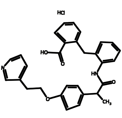 CC(C(=O)Nc1ccccc1Cc1ccccc1C(=O)O)c1ccc(OCCc2cccnc2)cc1.Cl